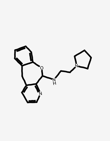 c1ccc2c(c1)Cc1cccnc1C(NCCN1CCCC1)O2